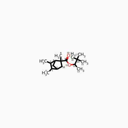 CC1C2CC(C1C)C(C)(C(=O)OC(C)C(C)(C)C)C2